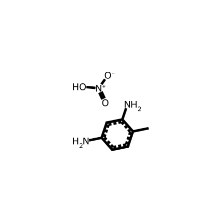 Cc1ccc(N)cc1N.O=[N+]([O-])O